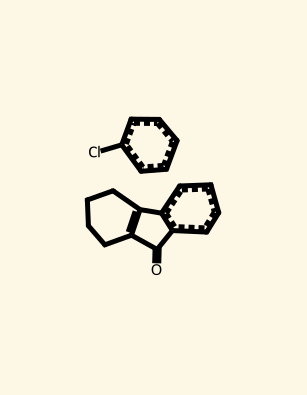 Clc1ccccc1.O=C1C2=C(CCCC2)c2ccccc21